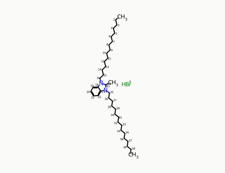 Br.CCCCCCCCCCCCCCCCN1c2ccccc2N(CCCCCCCCCCCCCCCC)C1C